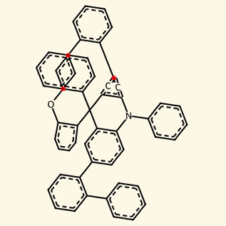 c1ccc(-c2ccccc2-c2ccc3c(c2)C2(c4ccccc4Oc4ccccc42)c2cc(-c4ccccc4-c4ccccc4)ccc2N3c2ccccc2)cc1